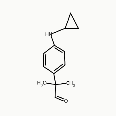 CC(C)(C=O)c1ccc(NC2CC2)cc1